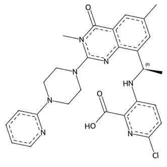 Cc1cc([C@@H](C)Nc2ccc(Cl)nc2C(=O)O)c2nc(N3CCN(c4ccccn4)CC3)n(C)c(=O)c2c1